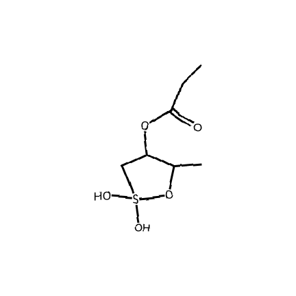 CCC(=O)OC1CS(O)(O)OC1C